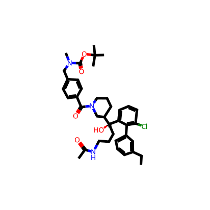 CCc1cccc(-c2c(Cl)cccc2[C@](O)(CCCNC(C)=O)C2CCCN(C(=O)c3ccc(CN(C)C(=O)OC(C)(C)C)cc3)C2)c1